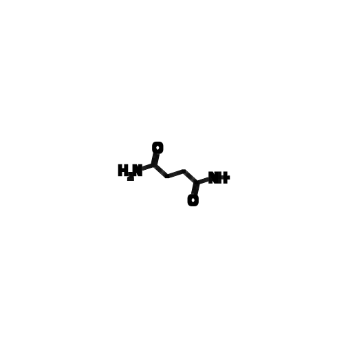 [NH]C(=O)CCC(N)=O